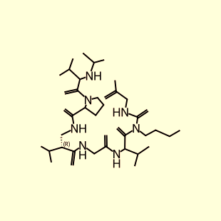 C=C(C)CNC(=C)N(CCCC)C(=C)C(NC(=C)CNC(=C)[C@@H](CNC(=C)C1CCCN1C(=C)C(NC(C)C)C(C)C)C(C)C)C(C)C